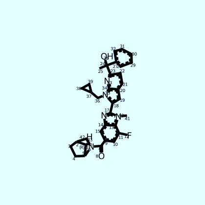 C[C@@H]1C2CCC1N(C(=O)c1cc(F)c3c(c1)nc(-c1cc4ccc(C(C)(O)c5ccccc5)nc4n1CC1CC1)n3C)C2